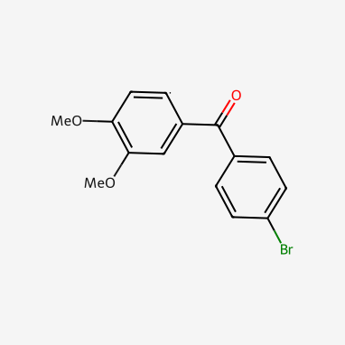 COc1c[c]c(C(=O)c2ccc(Br)cc2)cc1OC